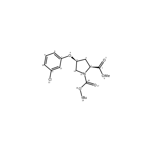 COC(=O)[C@@H]1C[C@H](Oc2cccc(Cl)c2)CN1C(=O)OC(C)(C)C